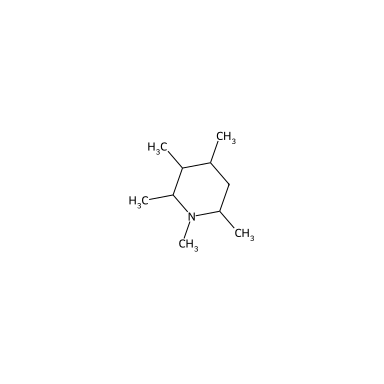 CC1CC(C)N(C)C(C)C1C